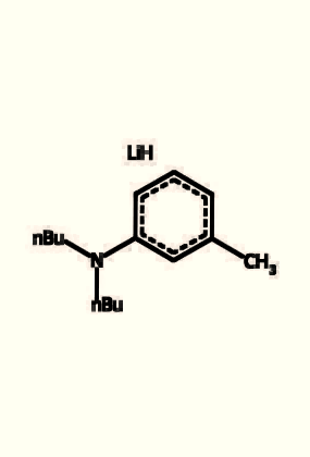 CCCCN(CCCC)c1cccc(C)c1.[LiH]